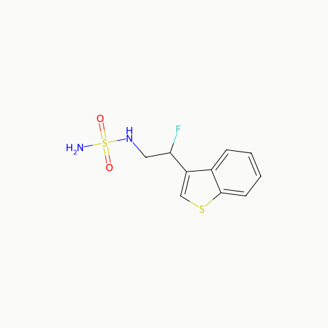 NS(=O)(=O)NCC(F)c1csc2ccccc12